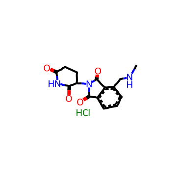 CNCc1cccc2c1C(=O)N(C1CCC(=O)NC1=O)C2=O.Cl